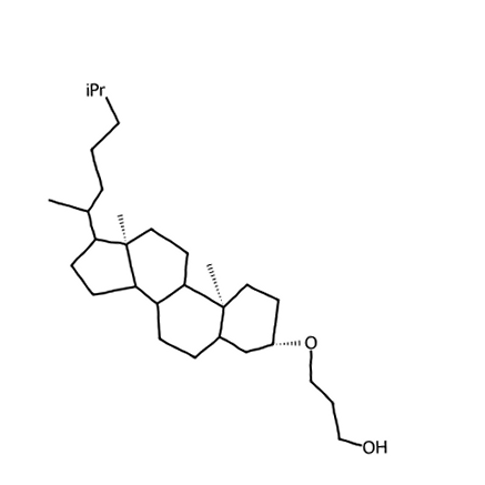 CC(C)CCCC(C)C1CCC2C3CCC4C[C@@H](OCCCO)CC[C@]4(C)C3CC[C@]12C